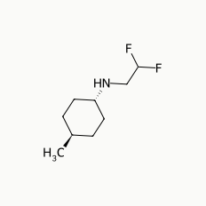 C[C@H]1CC[C@H](NCC(F)F)CC1